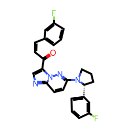 O=C(/C=C\c1cccc(F)c1)c1cnc2ccc(N3CCC[C@@H]3c3cccc(F)c3)nn12